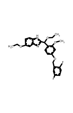 CCOc1ccc2[nH]c(C(OCC)c3ccc(OCc4cc(F)ccc4F)cc3OC)nc2c1